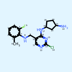 Cc1cccc(F)c1NCc1cnc(Cl)nc1NC1CCC(N)C1